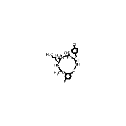 CCCC[C@@H]1NC[C@@H](C)Oc2cc(F)ccc2CCCNC(=O)[C@@H](Cc2ccc(Cl)cc2)NC(=O)[C@@H](C)N(C)C1=O